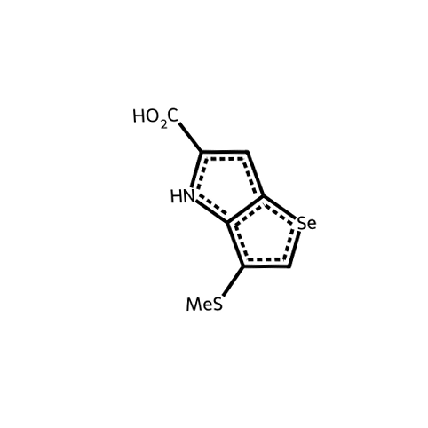 CSc1c[se]c2cc(C(=O)O)[nH]c12